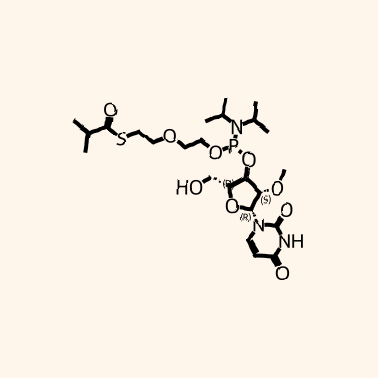 CO[C@H]1C(OP(OCCOCCSC(=O)C(C)C)N(C(C)C)C(C)C)[C@@H](CO)O[C@H]1n1ccc(=O)[nH]c1=O